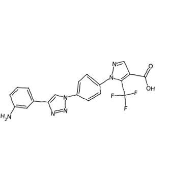 Nc1cccc(-c2cn(-c3ccc(-n4ncc(C(=O)O)c4C(F)(F)F)cc3)nn2)c1